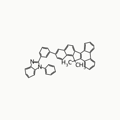 CC1(C)c2c(ccc3cc(-c4cccc(-c5nc6ccccc6n5-c5ccccc5)c4)ccc23)-c2c1c1ccccc1c1ccccc21